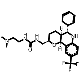 CN(C)CCNC(=O)NC[C@H]1CC[C@@H]2[C@H](O1)c1cc(C(F)(F)F)ccc1N[C@H]2C1C=CC=CC1